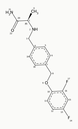 C[C@@H](NCc1ccc(COc2ccc(F)cc2F)cc1)C(N)=O